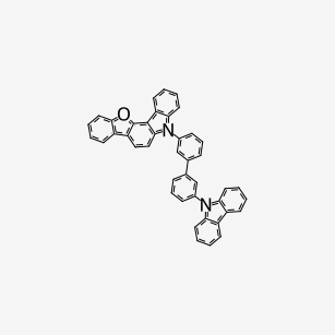 c1cc(-c2cccc(-n3c4ccccc4c4c5oc6ccccc6c5ccc43)c2)cc(-n2c3ccccc3c3ccccc32)c1